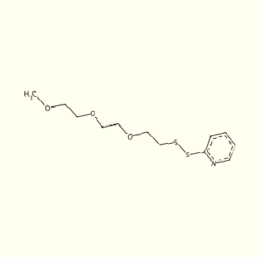 COCCOCCOCCSSc1ccccn1